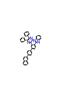 c1ccc(-c2nc3c4cc(-c5ccc(-c6ccc7ccccc7c6)cc5)ccc4c4nc5ccccc5n4c3nc2-c2ccccc2)cc1